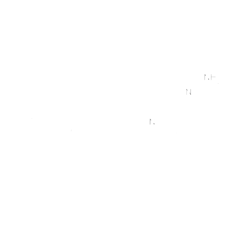 CC(C)CCCCCN1CCN(N)CC1